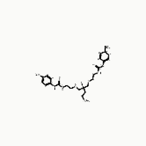 CCCCCCCCCCCC[C@@](C)(COCCNC(=S)NC1=CCC([N+](=O)[O-])C=C1)COCCNC(=S)Nc1ccc([N+](=O)[O-])cc1